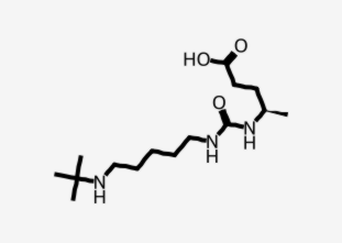 C[C@H](CCC(=O)O)NC(=O)NCCCCCNC(C)(C)C